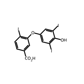 O=C(O)c1ccc(I)c(Oc2cc(I)c(O)c(I)c2)c1